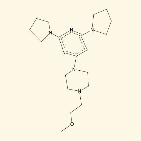 COCCN1CCN(c2cc(N3CCCC3)nc(N3CCCC3)n2)CC1